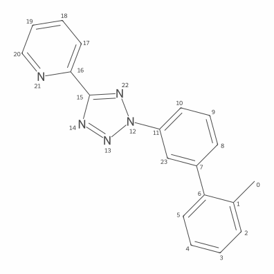 Cc1ccccc1-c1cccc(-n2nnc(-c3ccccn3)n2)c1